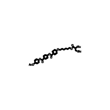 CC(=O)Oc1ccc(OC(=O)c2ccc(OC(=O)c3ccc(OCCCCCCOC(=O)C(CC(C)(C)C)C(C)(C)C)cc3)cc2)cc1